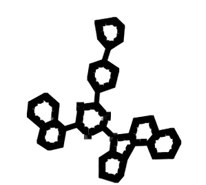 c1ccc(-c2ccc(-c3nc(-c4cccc5ccccc45)nc(-n4c5ccccc5c5c6ccccc6ccc54)n3)cc2)cc1